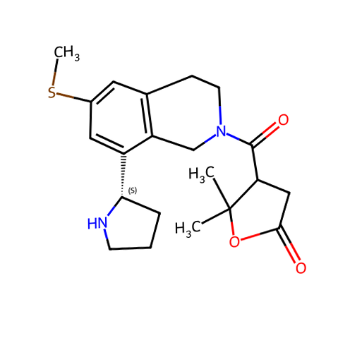 CSc1cc2c(c([C@@H]3CCCN3)c1)CN(C(=O)C1CC(=O)OC1(C)C)CC2